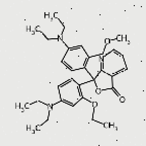 CCOc1cc(N(CC)CC)ccc1C1(c2ccc(N(CC)CC)cc2COC)OC(=O)c2cccnc21